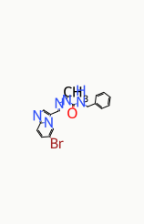 CN(N=Cc1cnc2ccc(Br)cn12)C(=O)NCc1ccccc1